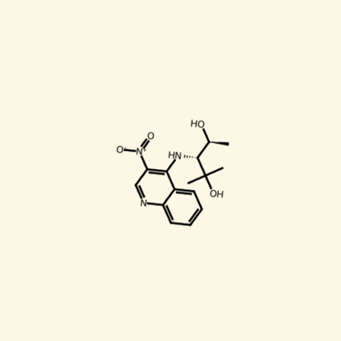 C[C@H](O)[C@@H](Nc1c([N+](=O)[O-])cnc2ccccc12)C(C)(C)O